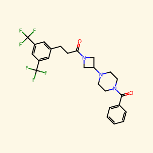 O=C(CCc1cc(C(F)(F)F)cc(C(F)(F)F)c1)N1CC(N2CCN(C(=O)c3ccccc3)CC2)C1